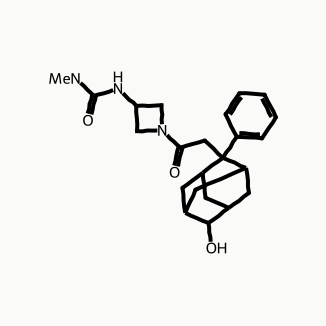 CNC(=O)NC1CN(C(=O)CC2(c3ccccc3)C3CC4CC2CC(C3)C4O)C1